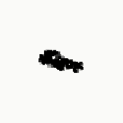 COc1cc(-c2[nH]c3cnc(N4CCN(CC(=O)N(C)C)CC4C)c(F)c3c2C(C)C)cn2ncnc12